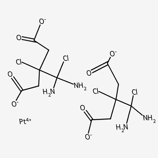 NC(N)(Cl)C(Cl)(CC(=O)[O-])CC(=O)[O-].NC(N)(Cl)C(Cl)(CC(=O)[O-])CC(=O)[O-].[Pt+4]